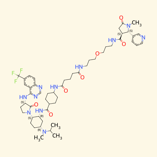 CC(C)N(C)[C@@H]1CC[C@H](N2CC[C@H](Nc3ncnc4ccc(C(F)(F)F)cc34)C2=O)[C@H](NC(=O)C2CCC(NC(=O)CCCC(=O)NCCCOCCCNC(=O)[C@H]3CC(=O)N(C)[C@@H]3c3cccnc3)CC2)C1